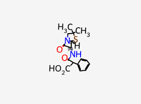 CC1(C)CN2C(=O)[C@@H](NC(=O)C(C(=O)O)c3ccccc3)[C@H]2S1